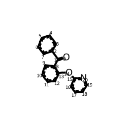 O=C(c1ccccc1)c1ccccc1Oc1ccccn1